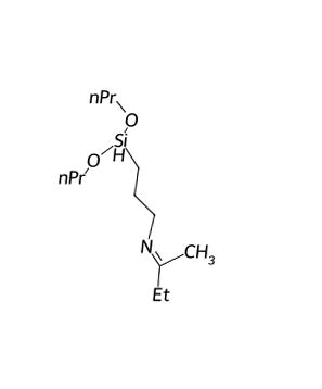 CCCO[SiH](CCCN=C(C)CC)OCCC